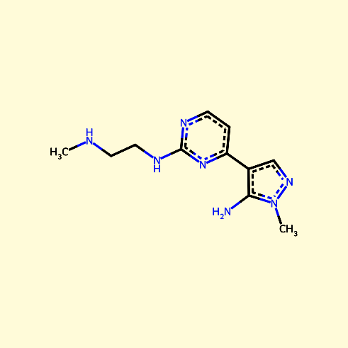 CNCCNc1nccc(-c2cnn(C)c2N)n1